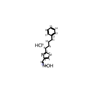 Cl.O/N=C\c1csc(CCCCc2ccccc2)n1